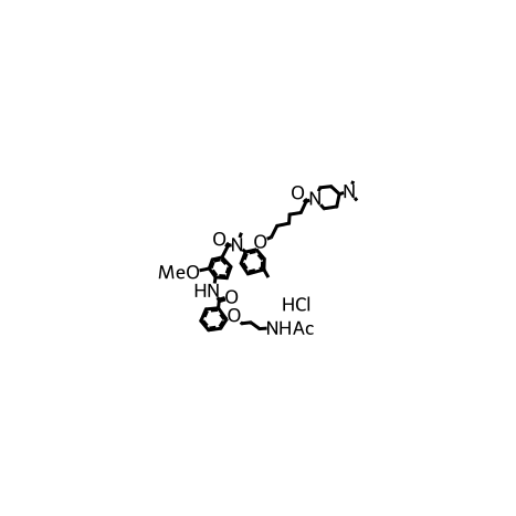 COc1cc(C(=O)N(C)c2ccc(C)cc2OCCCCCC(=O)N2CCC(N(C)C)CC2)ccc1NC(=O)c1ccccc1OCCCNC(C)=O.Cl